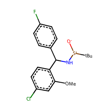 COc1cc(Cl)ccc1C(N[S+]([O-])C(C)(C)C)c1ccc(F)cc1